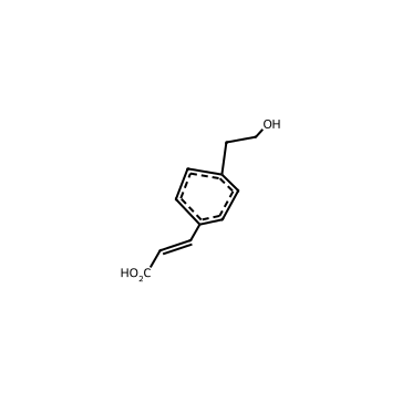 O=C(O)C=Cc1ccc(CCO)cc1